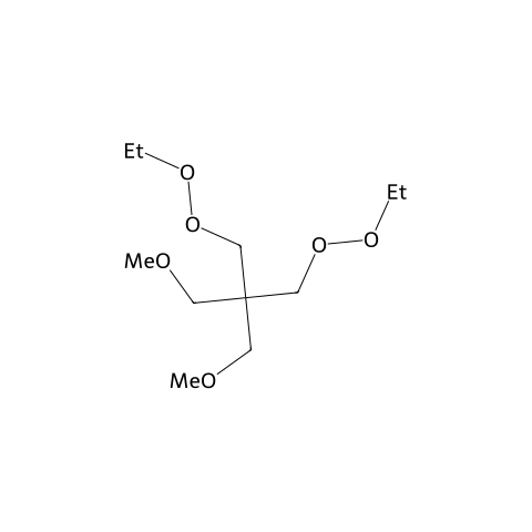 CCOOCC(COC)(COC)COOCC